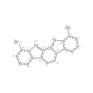 Brc1cccc2c1N=c1c-2ccc2c1=Nc1c(Br)cccc1-2